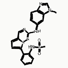 Cn1cnc2ccc(Nc3ncc4ccc(-c5ccccc5NS(C)(=O)=O)n4n3)cc21